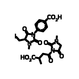 CC(CC(=O)N1C(=O)CN(C)C1=O)C(=O)O.CN1C(=O)N(c2ccc(C(=O)O)cc2)C(=O)C1CI